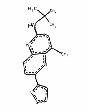 Cc1cc(NC(C)(C)C)nc2ccc(-c3ccsn3)nc12